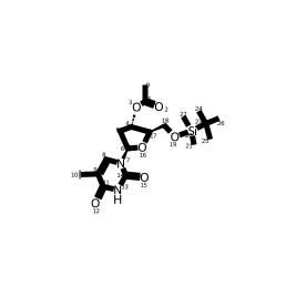 CC(=O)O[C@H]1C[C@H](n2cc(I)c(=O)[nH]c2=O)O[C@@H]1CO[Si](C)(C)C(C)(C)C